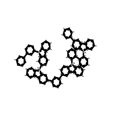 c1ccc(-c2cccc(-n3c4ccccc4c4ccc(-n5c6ccccc6c6ccc(-c7cccc(-c8ccc9c(c8)c8ccccc8n9-c8ccccc8-c8ccccc8-n8c9ccccc9c9cc(-c%10ccccc%10)ccc98)c7)cc65)cc43)c2)cc1